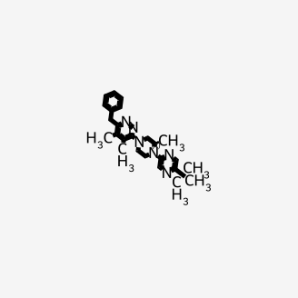 Cc1c(Cc2ccccc2)nnc(N2CCN(c3cnc(C(C)(C)C)cn3)[C@H](C)C2)c1C